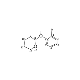 [CH2]c1ccccc1OC1CCCCO1